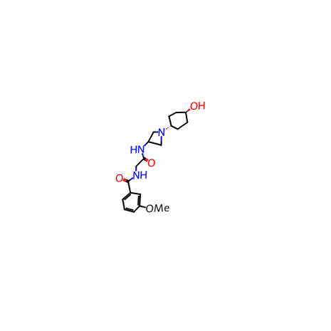 COc1cccc(C(=O)NCC(=O)NC2CN([C@H]3CC[C@H](O)CC3)C2)c1